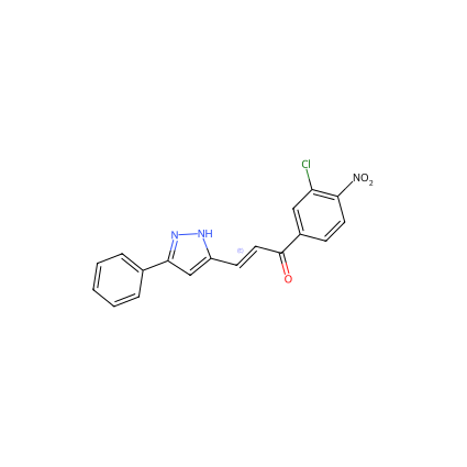 O=C(/C=C/c1cc(-c2ccccc2)n[nH]1)c1ccc([N+](=O)[O-])c(Cl)c1